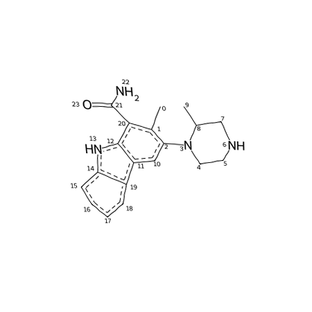 Cc1c(N2CCNCC2C)cc2c([nH]c3ccccc32)c1C(N)=O